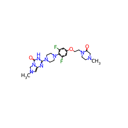 CN1C=C2N=C(N3CCN(c4c(F)cc(OCCN5CCN(C)CC5=O)cc4F)CC3)NC(=O)N2C1